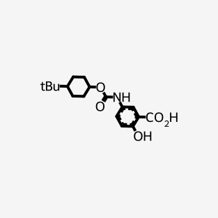 CC(C)(C)C1CCC(OC(=O)Nc2ccc(O)c(C(=O)O)c2)CC1